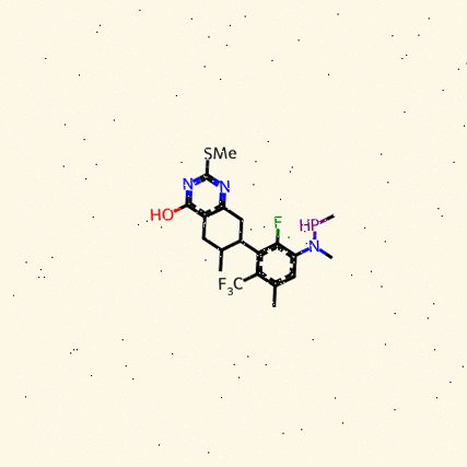 CPN(C)c1cc(C)c(C(F)(F)F)c(C2Cc3nc(SC)nc(O)c3CC2C)c1F